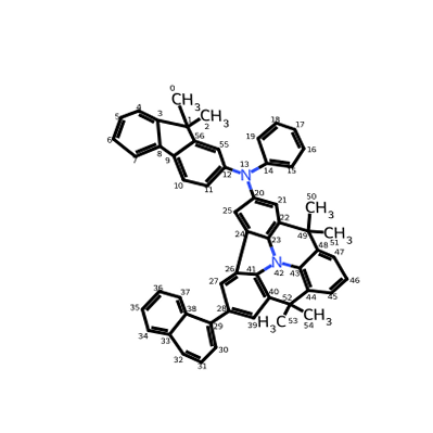 CC1(C)c2ccccc2-c2ccc(N(c3ccccc3)c3cc4c5c(c3)c3cc(-c6cccc7ccccc67)cc6c3n5-c3c(cccc3C4(C)C)C6(C)C)cc21